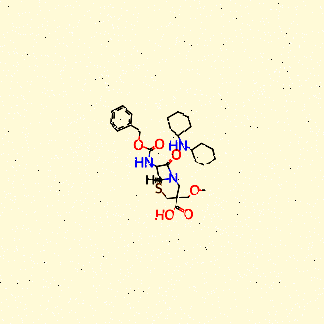 C1CCC(NC2CCCCC2)CC1.COCC1(C(=O)O)CS[C@@H]2C(NC(=O)OCc3ccccc3)C(=O)N2C1